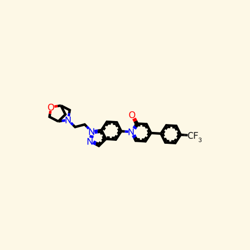 O=c1cc(-c2ccc(C(F)(F)F)cc2)ccn1-c1ccc2c(cnn2CCN2CC3CC2CO3)c1